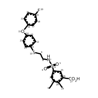 Cc1cc(S(=O)(=O)NCCSc2ccc(Oc3ccc(F)cc3)cc2)cc(C(=O)O)c1C